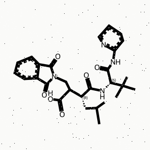 CC(C)C[C@@H](C(=O)N[C@H](C(=O)Nc1ccccn1)C(C)(C)C)C(CN1C(=O)c2ccccc2C1=O)C(=O)O